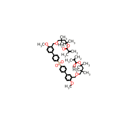 C=C(C)C(=O)OC(C)(C)CC(C)(C)COCc1cc(-c2ccc(S(=O)(=O)c3ccc(-c4ccc(OC)c(COCC(C)(C)CC(C)(C)OC(=O)C(=C)C)c4)cc3)cc2)ccc1OC